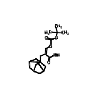 CC(C)(C)OC(=O)OC=C(CC12CC3CC(CC(C3)C1)C2)C(=O)O